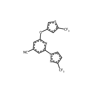 N#Cc1cc(Oc2csc(C(F)(F)F)c2)nc(-n2ccc(C(F)(F)F)n2)c1